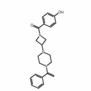 C=C(c1ccccc1)N1CCN(C2CN(C(=O)c3ccc(O)cc3)C2)CC1